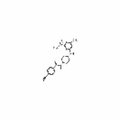 Cc1cc(N[C@H]2CC[C@@H](NC(=O)c3ccc(C#N)cc3)CC2)nc(N(C)C)n1